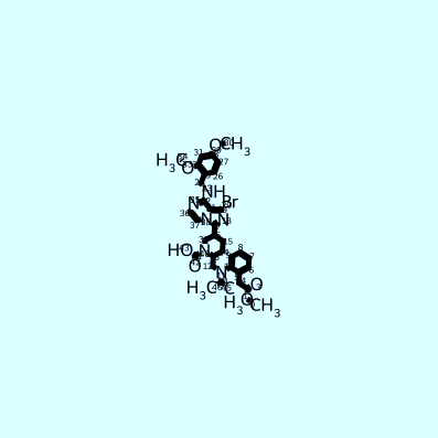 COC(=O)Cc1ccccc1N(CC1CCC(c2nc(Br)c3c(NCc4ccc(OC)cc4OC)nccn23)CN1C(=O)O)C(C)C